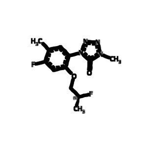 Cc1cc(-n2nnn(C)c2=O)c(OC[C@H](C)F)cc1F